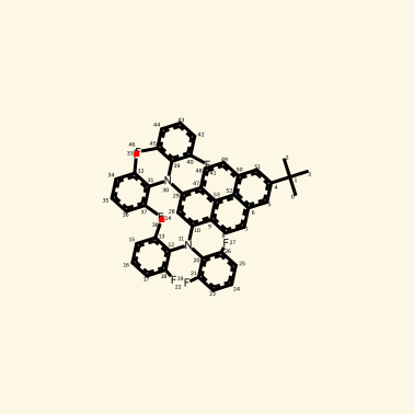 CC(C)(C)c1cc2ccc3c(N(c4c(F)cccc4F)c4c(F)cccc4F)cc(N(c4c(F)cccc4F)c4c(F)cccc4F)c4ccc(c1)c2c34